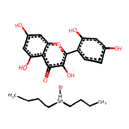 CCC[CH2][SnH]([Br])[CH2]CCC.O=c1c(O)c(-c2ccc(O)cc2O)oc2cc(O)cc(O)c12